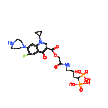 O=C(COC(=O)c1cn(C2CC2)c2cc(N3CCNCC3)c(F)cc2c1=O)NCCCC(P(=O)(O)O)P(=O)(O)O